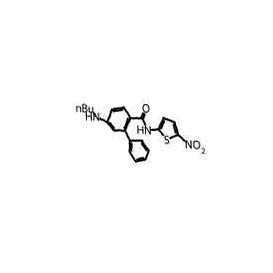 CCCCNc1ccc(C(=O)Nc2ccc([N+](=O)[O-])s2)c(-c2ccccc2)c1